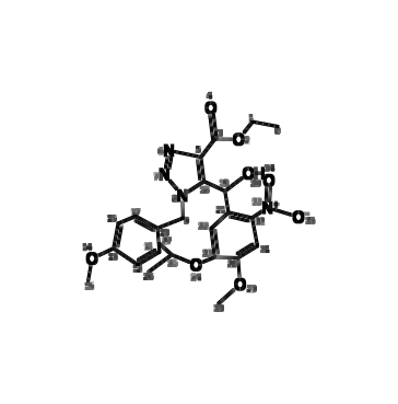 CCOC(=O)c1nnn(Cc2ccc(OC)cc2)c1C(O)c1cc(OC(C)C)c(OC)cc1[N+](=O)[O-]